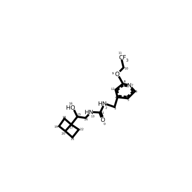 O=C(NCc1ccnc(OCC(F)(F)F)c1)NCC(O)C12CCC1CC2